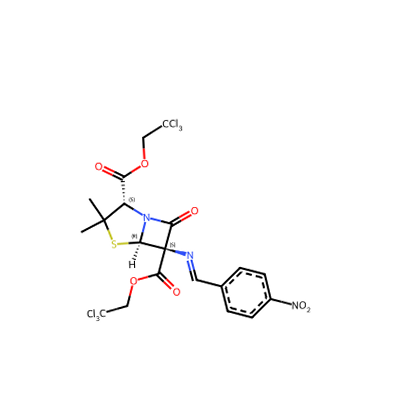 CC1(C)S[C@H]2N(C(=O)[C@]2(N=Cc2ccc([N+](=O)[O-])cc2)C(=O)OCC(Cl)(Cl)Cl)[C@H]1C(=O)OCC(Cl)(Cl)Cl